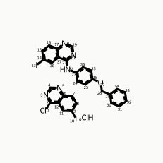 Cl.Clc1ncnc2ccc(I)cc12.Ic1ccc2ncnc(Nc3ccc(OCc4ccccc4)cc3)c2c1